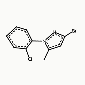 Cc1cc(Br)nn1-c1ccccc1Cl